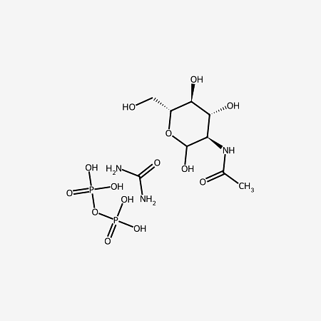 CC(=O)N[C@H]1C(O)O[C@H](CO)[C@@H](O)[C@@H]1O.NC(N)=O.O=P(O)(O)OP(=O)(O)O